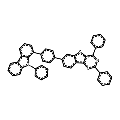 c1ccc(-c2nc(-c3ccccc3)c3sc4cc(-c5ccc(-c6cccc7c8ccccc8n(-c8ccccc8)c67)cc5)ccc4c3n2)cc1